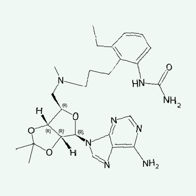 CCc1cccc(NC(N)=O)c1CCCN(C)C[C@H]1O[C@@H](n2cnc3c(N)ncnc32)[C@@H]2OC(C)(C)O[C@@H]21